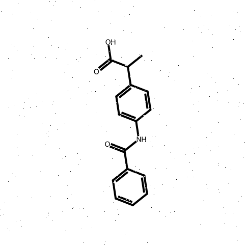 CC(C(=O)O)c1ccc(NC(=O)c2ccccc2)cc1